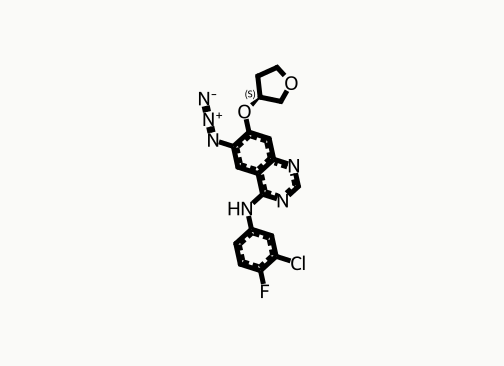 [N-]=[N+]=Nc1cc2c(Nc3ccc(F)c(Cl)c3)ncnc2cc1O[C@H]1CCOC1